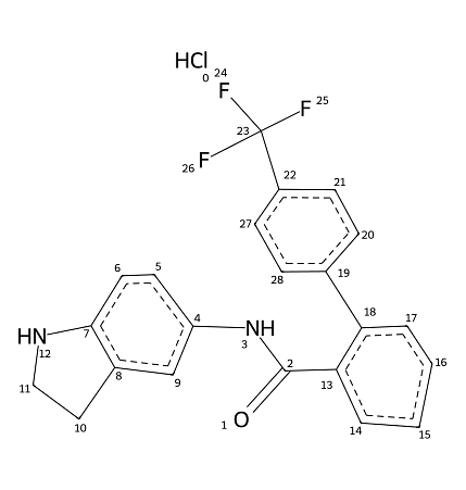 Cl.O=C(Nc1ccc2c(c1)CCN2)c1ccccc1-c1ccc(C(F)(F)F)cc1